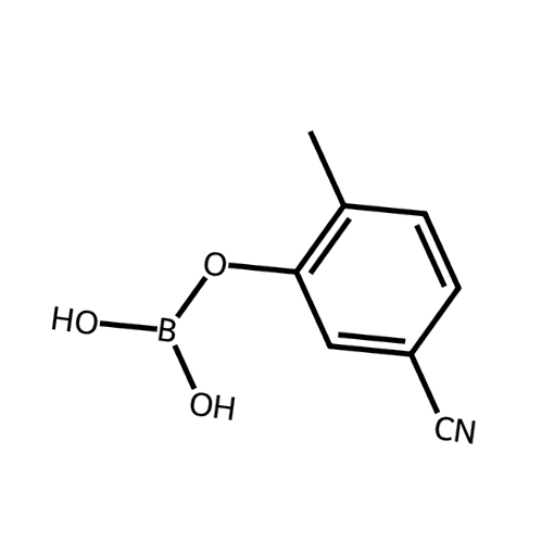 Cc1ccc(C#N)cc1OB(O)O